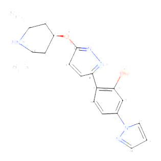 C[C@@H]1C[C@@H](Oc2ccc(-c3ccc(-n4cccn4)cc3O)nn2)C[C@H](C)N1